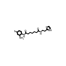 Nc1cc(F)ccc1NC(=O)CCCCCC(=O)NCCc1ncc[nH]1